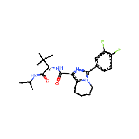 CC(C)NC(=O)[C@@H](NC(=O)c1nc(-c2ccc(F)c(F)c2)n2c1CCCC2)C(C)(C)C